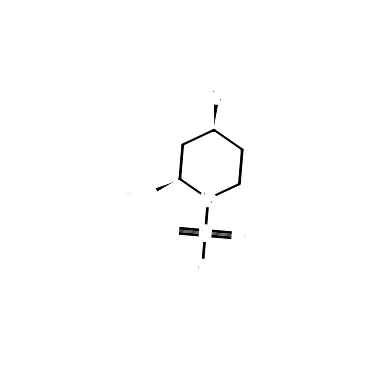 C[C@H]1C[C@@H](N)CCN1S(C)(=O)=O